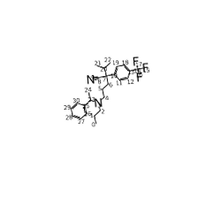 CCCN(CCCC(C#N)(c1ccc(C(F)(F)F)cc1)C(C)C)C(C)c1ccccc1